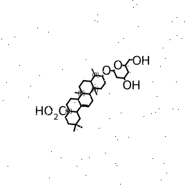 C[C@H]1C(OC2CC(O)CC(CO)O2)CC[C@@]2(C)C1CC[C@@]1(C)C3CC[C@@]4(C(=O)O)CCC(C)(C)CC4C3=CCC12